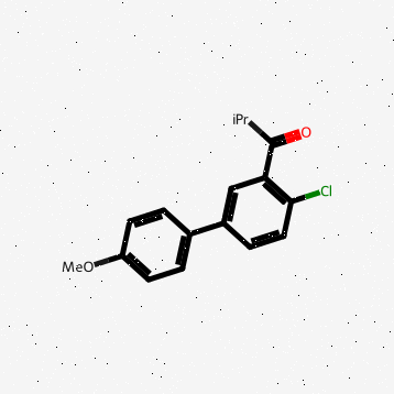 COc1ccc(-c2ccc(Cl)c(C(=O)C(C)C)c2)cc1